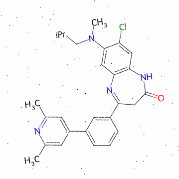 Cc1cc(-c2cccc(C3=Nc4cc(N(C)CC(C)C)c(Cl)cc4NC(=O)C3)c2)cc(C)n1